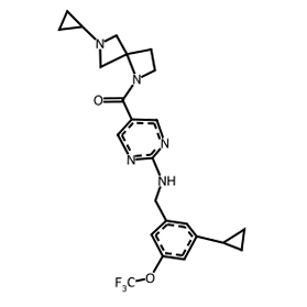 O=C(c1cnc(NCc2cc(OC(F)(F)F)cc(C3CC3)c2)nc1)N1CCC12CN(C1CC1)C2